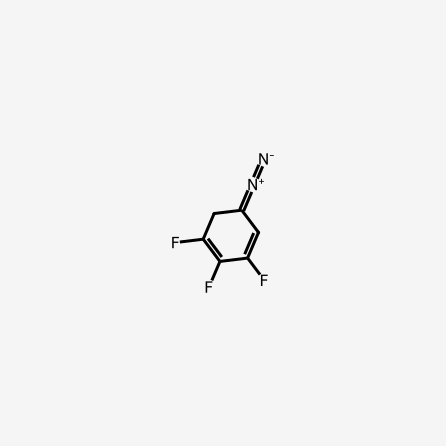 [N-]=[N+]=C1C=C(F)C(F)=C(F)C1